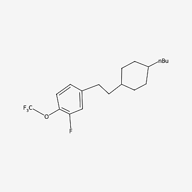 CCCCC1CCC(CCc2ccc(OC(F)(F)F)c(F)c2)CC1